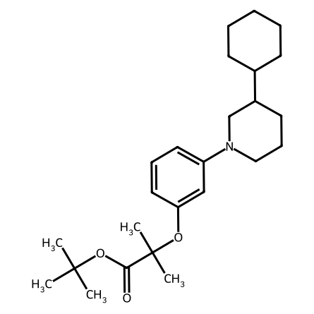 CC(C)(C)OC(=O)C(C)(C)Oc1cccc(N2CCCC(C3CCCCC3)C2)c1